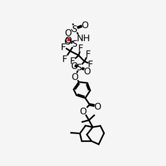 CC1CC2CCCC(C(C)(C)OC(=O)c3ccc(OS(=O)(=O)C(F)(F)C(F)(F)C(F)(F)S(=O)(=O)NS(C)(=O)=O)cc3)(C1)C2